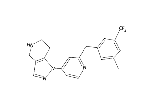 Cc1cc(Cc2cc(-n3ncc4c3CCNC4)ccn2)cc(C(F)(F)F)c1